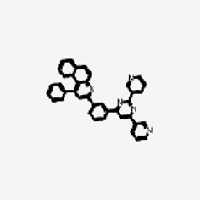 c1ccc(-c2cc(-c3cccc(-c4cc(-c5cccnc5)nc(-c5cccnc5)n4)c3)nc3ccc4ccccc4c23)cc1